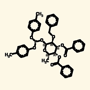 Cc1ccc(OP(Oc2ccc(C)cc2)O[C@@H]2O[C@@H](C)[C@@H](OC(=O)c3ccccc3)[C@@H](OC(=O)c3ccccc3)[C@@H]2OCc2ccccc2)cc1